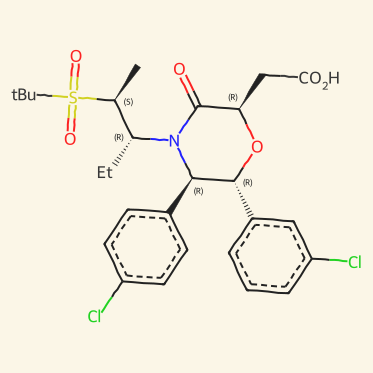 CC[C@H]([C@H](C)S(=O)(=O)C(C)(C)C)N1C(=O)[C@@H](CC(=O)O)O[C@H](c2cccc(Cl)c2)[C@H]1c1ccc(Cl)cc1